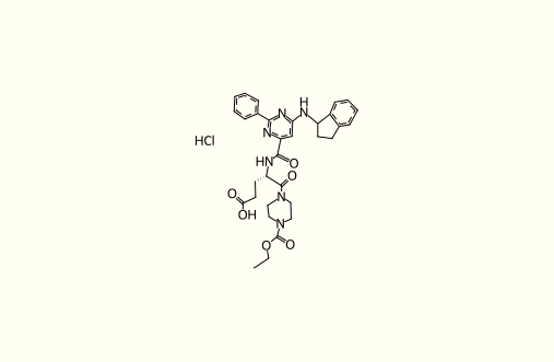 CCOC(=O)N1CCN(C(=O)[C@H](CCC(=O)O)NC(=O)c2cc(NC3CCc4ccccc43)nc(-c3ccccc3)n2)CC1.Cl